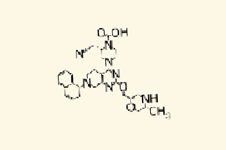 C[C@@H]1CO[C@@H](COc2nc3c(c(N4CCN(C(=O)O)[C@@H](CC#N)C4)n2)CCN(c2cccc4ccccc24)C3)CN1